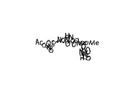 COc1cc2c(cc1OCCCOc1cc3c(cc1OC)C(=O)N1c4ccc(N(C)CCCSC5CC(=O)N(CC6CCC(C(C)=O)CC6)C5=O)cc4C[C@H]1C=N3)N=C[C@@H]1Cc3ccccc3N1C2=O